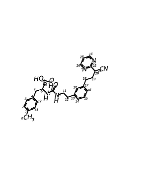 Cc1ccc(C[C@H](NC(=O)NCCc2cccc(CCC(C#N)c3ncccn3)c2)B(O)O)cc1